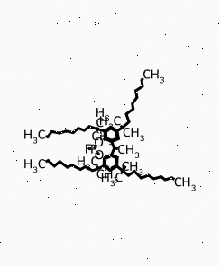 CCCCCCCCCC(C)(C)c1cc2c(c(C(C)(C)CCCCCCCCC)c1)OP(F)Oc1c(cc(C(C)(C)CCCCCCCCC)cc1C(C)(C)CCCCCCCCC)C2C